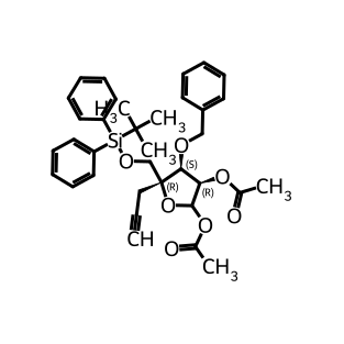 C#CC[C@]1(CO[Si](c2ccccc2)(c2ccccc2)C(C)(C)C)OC(OC(C)=O)[C@H](OC(C)=O)[C@@H]1OCc1ccccc1